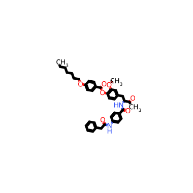 CCCCCCCOc1ccc(C(=O)Oc2ccc(CC(NC(=O)c3ccc(NC(=O)Cc4ccccc4)cc3)C(C)=O)cc2OC)cc1